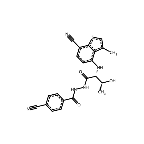 Cc1csc2c(C#N)ccc(N[C@@H](C(=O)NNC(=O)c3ccc(C#N)cc3)[C@H](C)O)c12